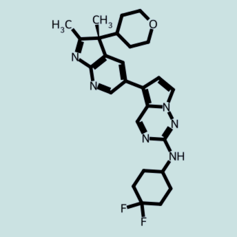 CC1=Nc2ncc(-c3ccn4nc(NC5CCC(F)(F)CC5)ncc34)cc2[C@@]1(C)C1CCOCC1